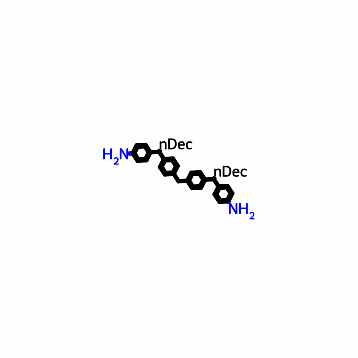 CCCCCCCCCCC(c1ccc(N)cc1)c1ccc(Cc2ccc(C(CCCCCCCCCC)c3ccc(N)cc3)cc2)cc1